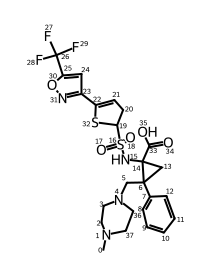 CN1CCN(CC2(c3ccccc3)CC2(NS(=O)(=O)C2CC=C(c3cc(C(F)(F)F)on3)S2)C(=O)O)CC1